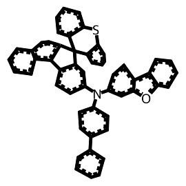 c1ccc(-c2ccc(N(c3ccc4c(c3)C3(c5ccccc5Sc5ccccc53)c3ccc5ccccc5c3-4)c3ccc4c(c3)oc3ccccc34)cc2)cc1